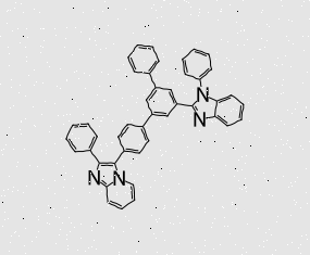 c1ccc(-c2cc(-c3ccc(-c4c(-c5ccccc5)nc5ccccn45)cc3)cc(-c3nc4ccccc4n3-c3ccccc3)c2)cc1